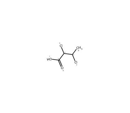 CC(Cl)C(Cl)C(=O)O